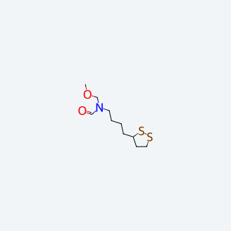 COCN(C=O)CCCCC1CCSS1